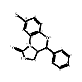 O=C1NCC2C(c3ccccc3)Oc3ccc(Cl)cc3N12